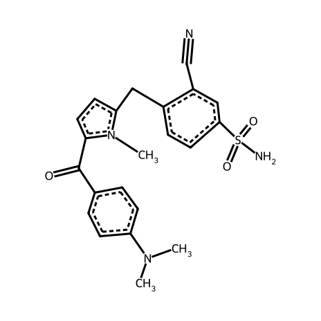 CN(C)c1ccc(C(=O)c2ccc(Cc3ccc(S(N)(=O)=O)cc3C#N)n2C)cc1